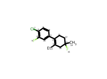 CCC1=C(c2ccc(Cl)c(F)c2)CCC(C)(F)C1